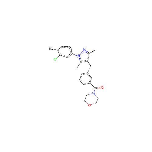 Cc1nn(-c2ccc(C#N)c(Cl)c2)c(C)c1Cc1cccc(C(=O)N2CCOCC2)c1